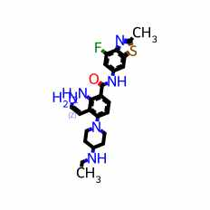 CCNC1CCN(c2ccc(C(=O)Nc3cc(F)c4nc(C)sc4c3)c(N)c2/C=C\N)CC1